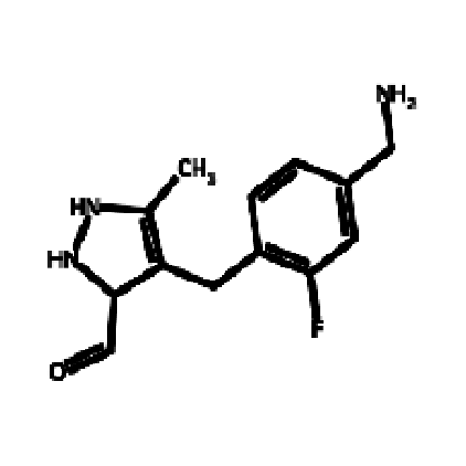 CC1=C(Cc2ccc(CN)cc2F)C(C=O)NN1